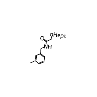 CCCCCCCCC(=O)NCc1cccc(C)c1